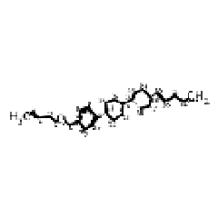 CC=CCCOCc1ccc([C@H]2CC[C@H]([C@H]3CC[C@H](C=CCCC)CC3)CC2)cc1